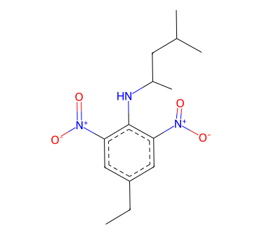 CCc1cc([N+](=O)[O-])c(NC(C)CC(C)C)c([N+](=O)[O-])c1